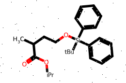 [CH2]C([CH2])OC(=O)C(C)CCO[Si](c1ccccc1)(c1ccccc1)C(C)(C)C